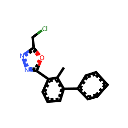 Cc1c(-c2ccccc2)cccc1-c1nnc(CCl)o1